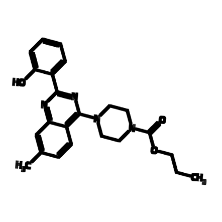 CCCOC(=O)N1CCN(c2nc(-c3ccccc3O)nc3cc(C)ccc23)CC1